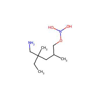 CCC(C)(CN)CC(C)CON(O)O